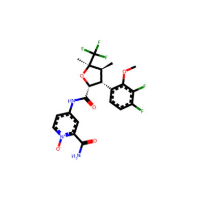 COc1c([C@@H]2[C@H](C(=O)Nc3cc[n+]([O-])c(C(N)=O)c3)O[C@@](C)(C(F)(F)F)[C@H]2C)ccc(F)c1F